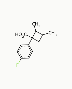 CC1CC(C(=O)O)(c2ccc(F)cc2)C1C